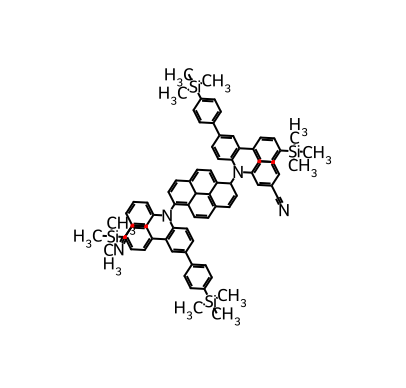 C[Si](C)(C)c1ccc(-c2ccc(N(C3=C4C=CC5=C6C(=CC=C(C=C3)C46)C(N(c3cccc(C#N)c3)c3ccc(-c4ccc([Si](C)(C)C)cc4)cc3-c3ccc([Si](C)(C)C)cc3)C=C5)c3cccc(C#N)c3)c(-c3ccc([Si](C)(C)C)cc3)c2)cc1